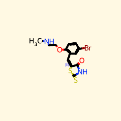 CNCCOc1ccc(Br)cc1/C=C1/SC(=S)NC1=O